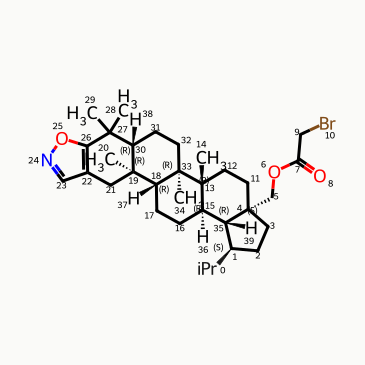 CC(C)[C@@H]1CC[C@]2(COC(=O)CBr)CC[C@]3(C)[C@H](CC[C@@H]4[C@@]5(C)Cc6cnoc6C(C)(C)[C@@H]5CC[C@]43C)[C@@H]12